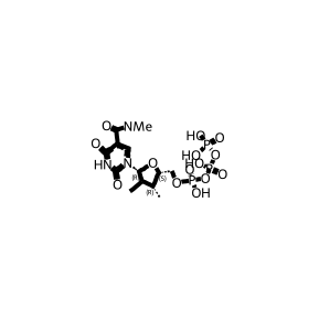 CNC(=O)c1cn([C@@H]2O[C@H](COP(=O)(O)OP(=O)(O)OP(=O)(O)O)[C@H](C)C2C)c(=O)[nH]c1=O